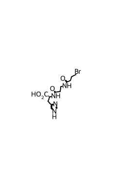 O=C(CCCBr)NCCC(=O)N[C@@H](Cc1c[nH]cn1)C(=O)O